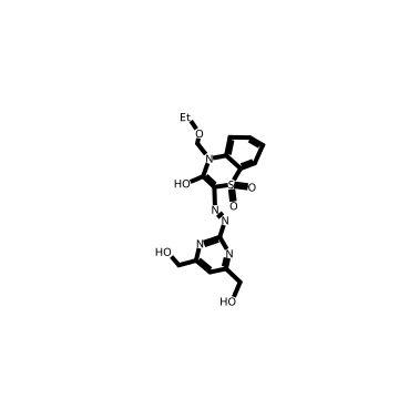 CCOCN1C(O)=C(N=Nc2nc(CO)cc(CO)n2)S(=O)(=O)c2ccccc21